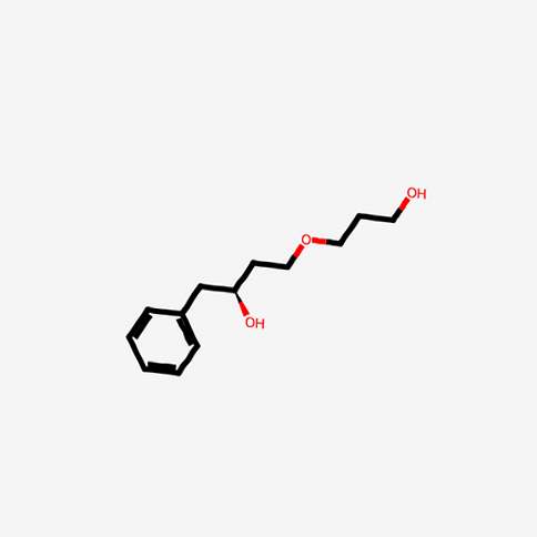 OCCCOCC[C@@H](O)Cc1ccccc1